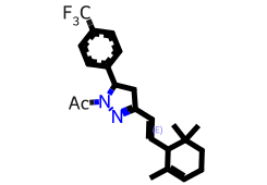 CC(=O)N1N=C(/C=C/C2C(C)=CCCC2(C)C)CC1c1ccc(C(F)(F)F)cc1